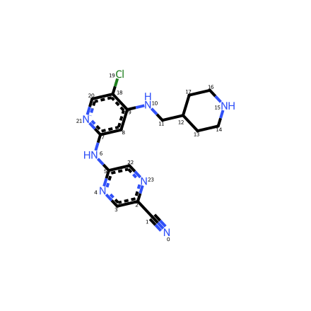 N#Cc1cnc(Nc2cc(NCC3CCNCC3)c(Cl)cn2)cn1